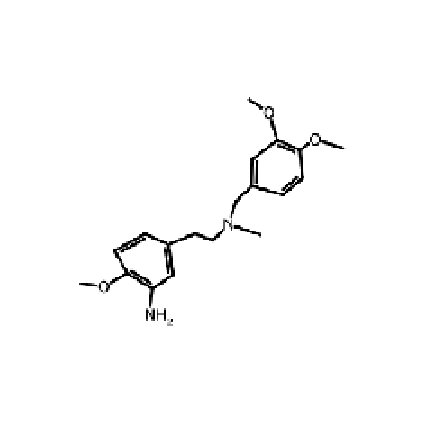 COc1ccc(CCN(C)Cc2ccc(OC)c(OC)c2)cc1N